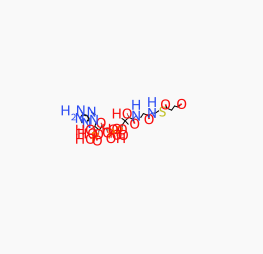 CC(C)(COP(=O)(O)OP(=O)(O)OC[C@H]1O[C@@H](n2cnc3c(N)ncnc32)[C@H](O)[C@@H]1OP(=O)(O)O)[C@@H](O)C(=O)NCCC(=O)NCCSC(=O)CCC=O